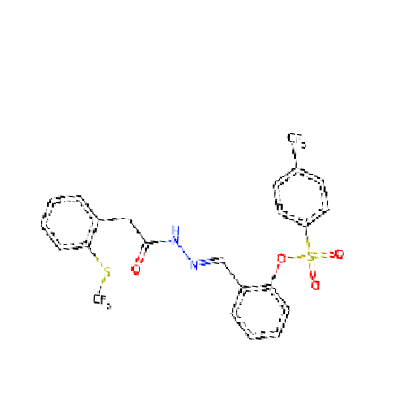 O=C(Cc1ccccc1SC(F)(F)F)NN=Cc1ccccc1OS(=O)(=O)c1ccc(C(F)(F)F)cc1